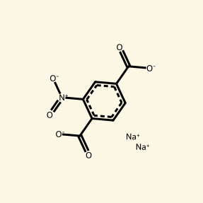 O=C([O-])c1ccc(C(=O)[O-])c([N+](=O)[O-])c1.[Na+].[Na+]